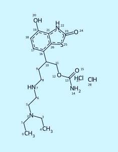 CCN(CC)CCNCCC(COC(N)=O)c1ccc(O)c2[nH]c(=O)sc12.Cl.Cl